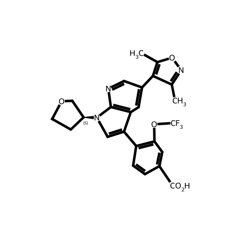 Cc1noc(C)c1-c1cnc2c(c1)c(-c1ccc(C(=O)O)cc1OC(F)(F)F)cn2[C@H]1CCOC1